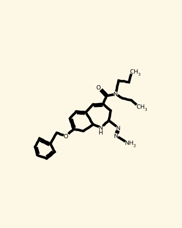 CCCN(CCC)C(=O)C1=CC2=CC=C(OCc3ccccc3)CC2NC(N=NN)C1